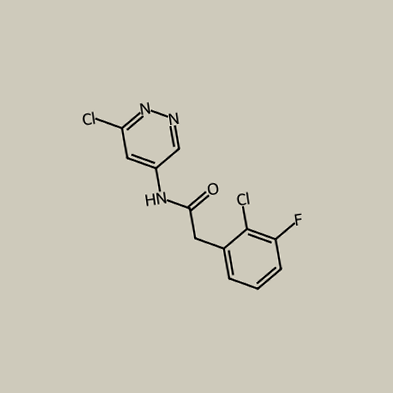 O=C(Cc1cccc(F)c1Cl)Nc1cnnc(Cl)c1